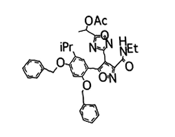 CCNC(=O)c1noc(-c2cc(C(C)C)c(OCc3ccccc3)cc2OCc2ccccc2)c1-c1noc(C(C)OC(C)=O)n1